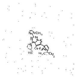 Cc1c(-c2ccn(C(C)C)n2)sc2nc(-c3nccn3C)nc(N3CCCC(CO)C3)c12